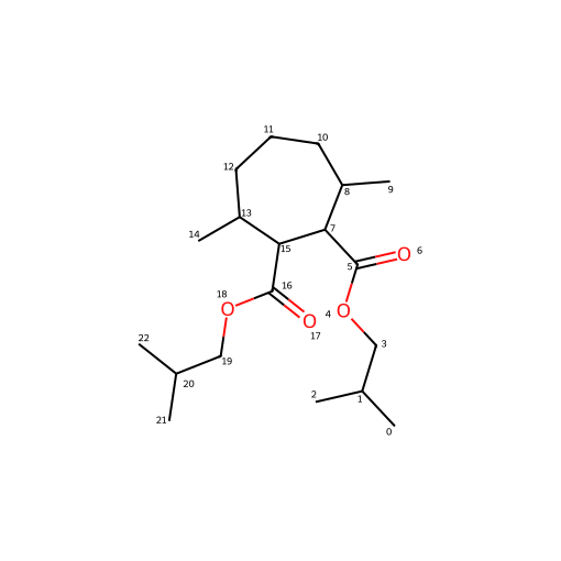 CC(C)COC(=O)C1C(C)CCCC(C)C1C(=O)OCC(C)C